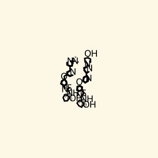 CN(C)c1cc(-c2cc(Oc3ccc4nc(N[C@@H]5CCCC[C@H]5O)sc4c3)ccn2)ccn1.OC1CCN(c2ccc(-c3cc(Oc4ccc5nc(N[C@@H]6CCCC[C@H]6O)sc5c4)ccn3)cn2)CC1